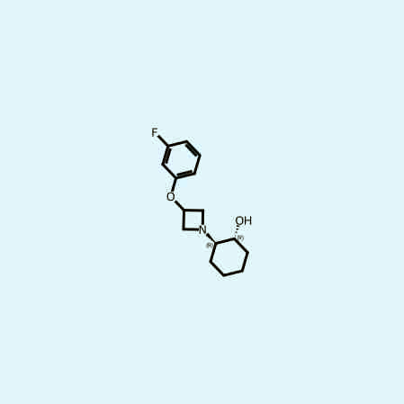 O[C@@H]1CCCC[C@H]1N1CC(Oc2cccc(F)c2)C1